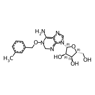 Cc1cccc(CON2CN=c3c(ncn3[C@@H]3O[C@H](CO)[C@@H](O)[C@H]3O)=C2N)c1